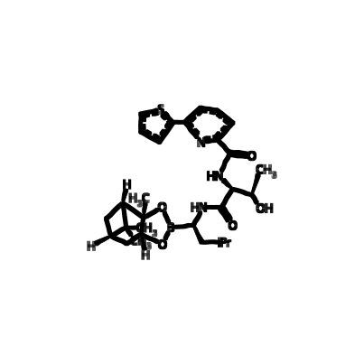 CC(C)C[C@H](NC(=O)[C@@H](NC(=O)c1cccc(-c2cccs2)n1)[C@@H](C)O)B1O[C@@H]2C[C@@H]3C[C@@H](C3(C)C)[C@]2(C)O1